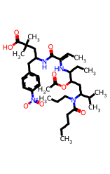 C/C=C(\NC(CC)C(CC(C(C)C)N(CCC)C(=O)CCCC)OC(C)=O)C(=O)NC(Cc1ccc([N+](=O)[O-])cc1)CC(C)(C)C(=O)O